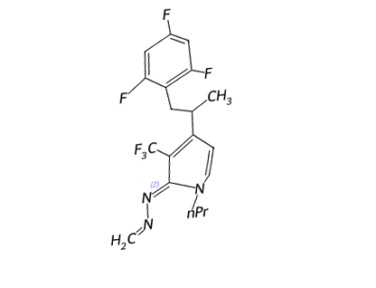 C=N/N=c1/c(C(F)(F)F)c(C(C)Cc2c(F)cc(F)cc2F)ccn1CCC